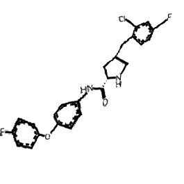 O=C(Nc1ccc(Oc2ccc(F)cc2)cc1)[C@@H]1C[C@@H](Cc2ccc(F)cc2Cl)CN1